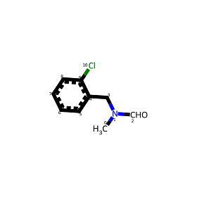 CN(C=O)Cc1ccccc1Cl